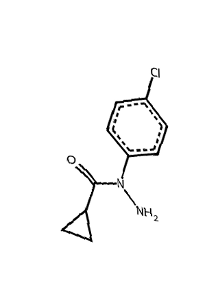 NN(C(=O)C1CC1)c1ccc(Cl)cc1